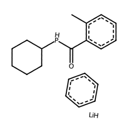 Cc1ccccc1C(=O)PC1CCCCC1.[LiH].c1ccccc1